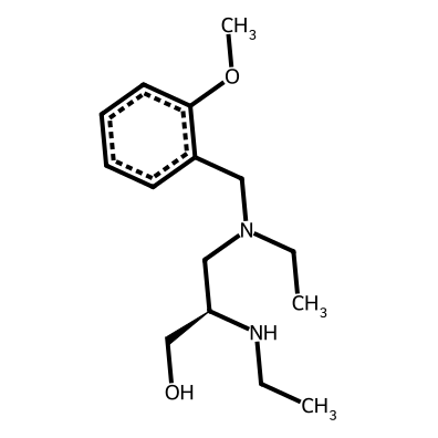 CCN[C@@H](CO)CN(CC)Cc1ccccc1OC